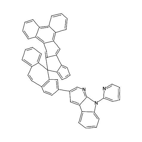 C1=Cc2ccc(-c3cnc4c(c3)c3ccccc3n4-c3ccccn3)cc2C2(c3ccccc31)c1ccccc1-c1cc3c4ccccc4c4ccccc4c3cc12